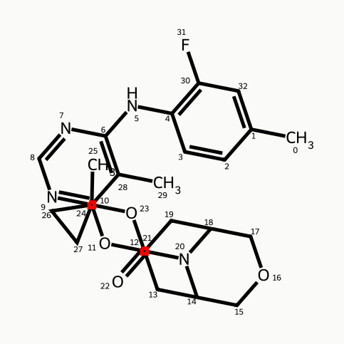 Cc1ccc(Nc2ncnc(OC3CC4COCC(C3)N4C(=O)OC3(C)CC3)c2C)c(F)c1